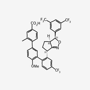 COc1ccc(-c2ccc(C(=O)O)cc2C)cc1-c1ccc(C(F)(F)F)cc1[C@@H]1CC[C@@H]2C1=NO[C@@H]2c1cc(C(F)(F)F)cc(C(F)(F)F)c1